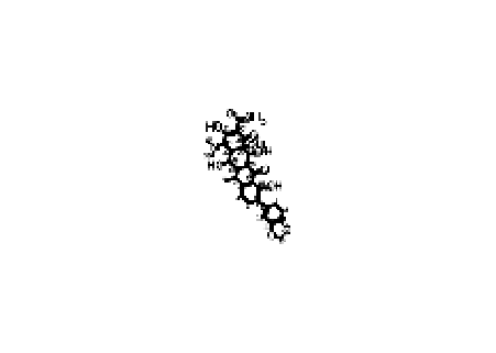 CC1c2ccc(-c3ccc4c(c3)OCO4)c(O)c2C(=O)C2=C(O)C3(O)C(=O)C(C(N)=O)=C(O)C(N(C)C)C3C(O)C21